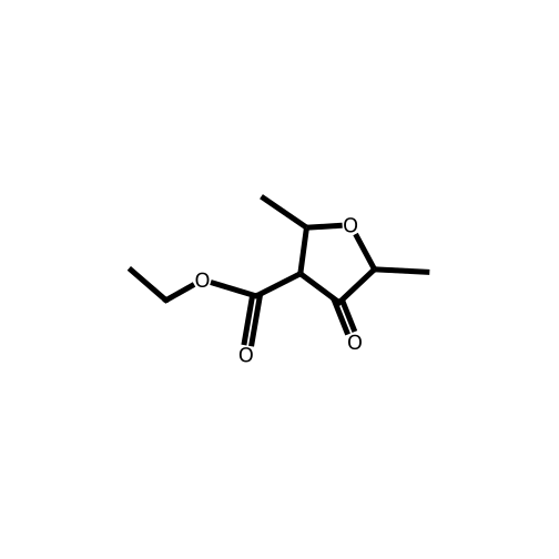 CCOC(=O)C1C(=O)C(C)OC1C